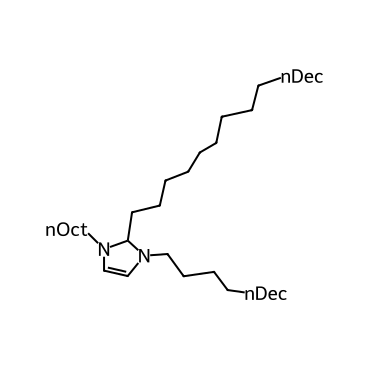 CCCCCCCCCCCCCCCCCCCC1N(CCCCCCCC)C=CN1CCCCCCCCCCCCCC